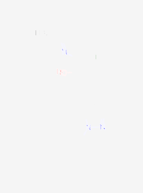 Cc1cccc(C(O)(CF)c2ccc3c(cnn3-c3ccccc3)c2)n1